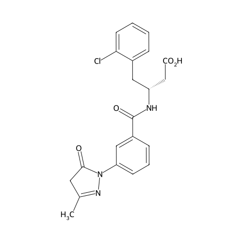 CC1=NN(c2cccc(C(=O)N[C@@H](CC(=O)O)Cc3ccccc3Cl)c2)C(=O)C1